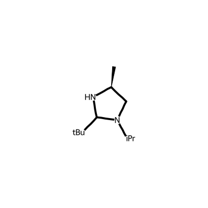 CC(C)N1C[C@H](C)NC1C(C)(C)C